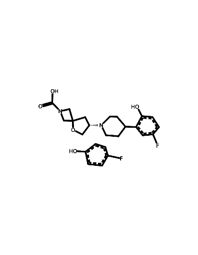 O=C(O)N1CC2(C[C@H](N3CCC(c4cc(F)ccc4O)CC3)CO2)C1.Oc1ccc(F)cc1